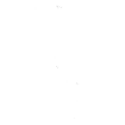 COC(=O)c1ccc(CO/N=C2/C(=O)N(CC(=O)OC(C)(C)C)c3ccccc32)cc1